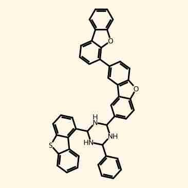 c1ccc(C2NC(c3ccc4oc5ccc(-c6cccc7c6oc6ccccc67)cc5c4c3)NC(c3cccc4sc5ccccc5c34)N2)cc1